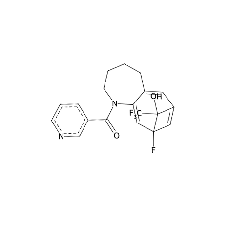 O=C(c1cccnc1)N1CCCCC2=CC3=CC(F)(C=C21)C3(O)C(F)(F)F